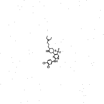 CCN(CC)CCCC1CCC(c2nc(Nc3ccc(Cl)c(Cl)c3)ncc2C(F)(F)F)CN1